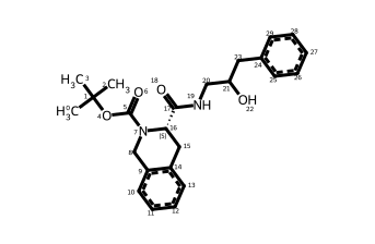 CC(C)(C)OC(=O)N1Cc2ccccc2C[C@H]1C(=O)NCC(O)Cc1ccccc1